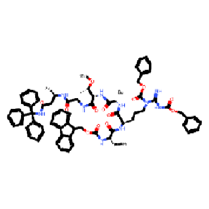 CC[C@H](C)[C@H](NC(=O)[C@@H](CCCN(C(=N)NC(=O)OCc1ccccc1)C(=O)OCc1ccccc1)NC(=O)[C@H](CC(C)C)NC(=O)OCC1c2ccccc2-c2ccccc21)C(=O)N[C@H](C(=O)NCC(=O)N[C@@H](CC(=O)NC(c1ccccc1)(c1ccccc1)c1ccccc1)C(C)=O)[C@H](C)OC(C)(C)C